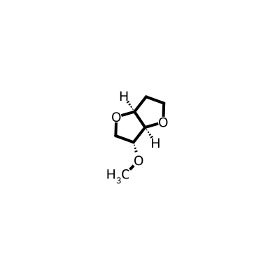 CO[C@@H]1CO[C@H]2CCO[C@H]21